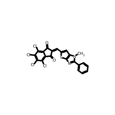 Cn1c(-c2ccccc2)nc2sc(C=C3C(=O)c4c(Cl)c(Cl)c(Cl)c(Cl)c4C3=O)cc21